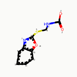 [O]C(=O)NCSc1nc2ccccc2o1